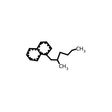 CCCC[C](C)Cc1cccc2ccccc12